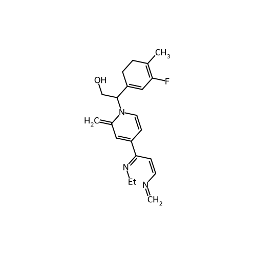 C=N/C=C\C(=N/CC)C1=CC(=C)N(C(CO)C2=CC(F)=C(C)CC2)C=C1